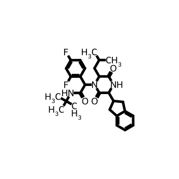 CC(C)CC1C(=O)NC(C2Cc3ccccc3C2)C(=O)N1C(C(=O)NC(C)(C)C)c1ccc(F)cc1F